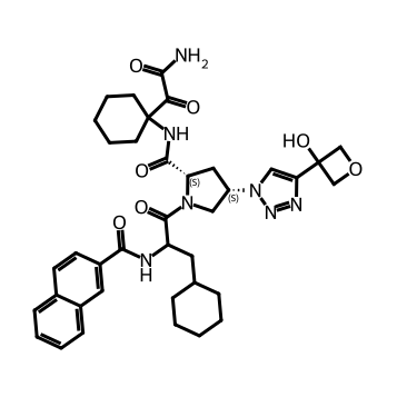 NC(=O)C(=O)C1(NC(=O)[C@@H]2C[C@H](n3cc(C4(O)COC4)nn3)CN2C(=O)C(CC2CCCCC2)NC(=O)c2ccc3ccccc3c2)CCCCC1